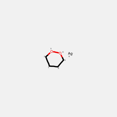 C1CCOOC1.[Ag]